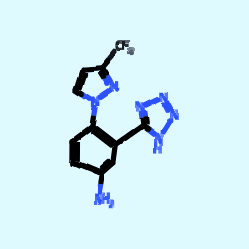 Nc1ccc(-n2ccc(C(F)(F)F)n2)c(-c2nnn[nH]2)c1